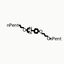 CCCCCC=CCOc1cnc(-c2ccc(OCCCCOCCCCC)cc2)nc1